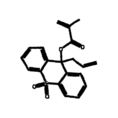 C=CCC1(OC(=O)C(=C)C)c2ccccc2S(=O)(=O)c2ccccc21